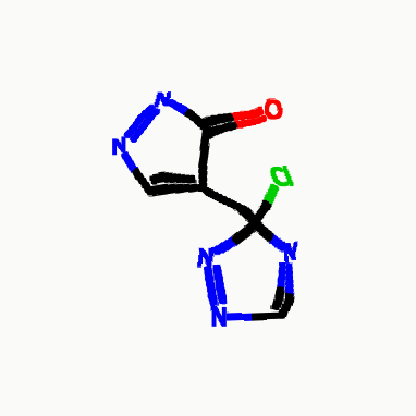 O=C1N=NC=C1C1(Cl)N=CN=N1